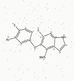 CSc1c(Oc2ccc(F)c(C(C)=O)c2)c(F)cc2[nH]ccc12